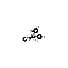 O=C(NN1CCCCC1)C1=NN(c2ccc(Cl)cc2Cl)[C@H](c2ccc(Cl)cc2)[C@H]1C(F)(F)F